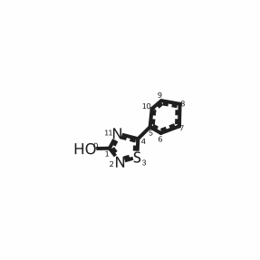 Oc1nsc(-c2ccccc2)n1